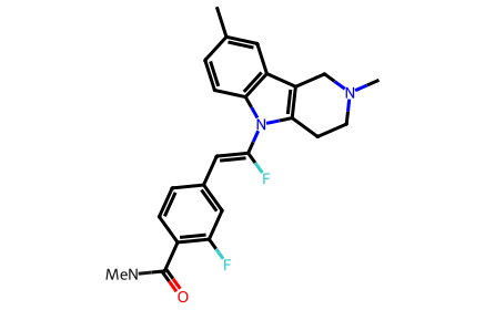 CNC(=O)c1ccc(C=C(F)n2c3c(c4cc(C)ccc42)CN(C)CC3)cc1F